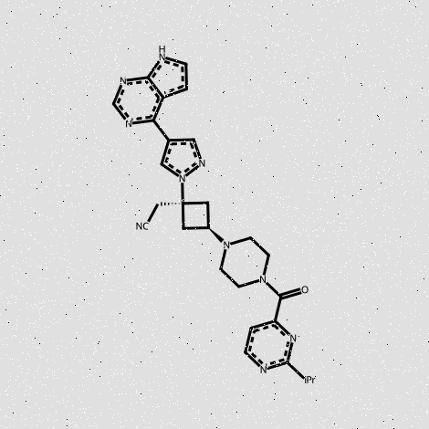 CC(C)c1nccc(C(=O)N2CCN([C@H]3C[C@@](CC#N)(n4cc(-c5ncnc6[nH]ccc56)cn4)C3)CC2)n1